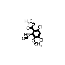 COC(=O)c1c(Cl)cc(Cl)c(OC)c1NC=O